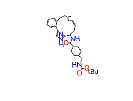 CC(C)(C)OC(=O)NCC1CCC(C(=O)NC2CC=CCCCc3ccccc3-c3c[nH]c2n3)CC1